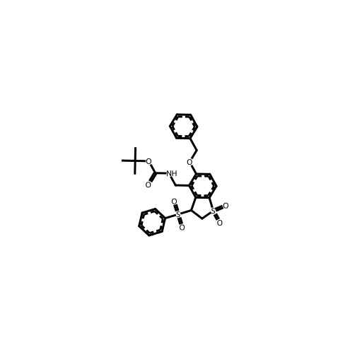 CC(C)(C)OC(=O)NCc1c(OCc2ccccc2)ccc2c1C(S(=O)(=O)c1ccccc1)CS2(=O)=O